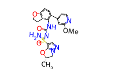 COc1cc(-c2ccc3c(c2NC(=O)N=[S@](N)(=O)c2cnn4c2O[C@@H](C)C4)CCO3)ccn1